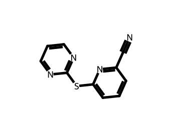 N#Cc1cccc(Sc2ncccn2)n1